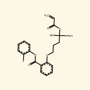 C=CC(=O)OC(C#N)(CCCCC)CCCOc1ccccc1C(=O)Oc1cc[c]cc1F